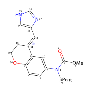 CCCCCN(C(=O)OC)c1ccc2c(c1)/C(=C/c1c[nH]cn1)CCO2